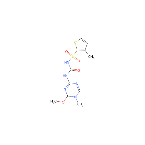 COC1N=C(NC(=O)NS(=O)(=O)c2sccc2C)N=CN1C